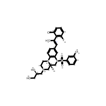 C/C(=C\c1ccc2c(c1)N(S(=O)(=O)c1cccc(C(F)(F)F)c1)C[C@@H]1CN(C[C@H](O)CO)CCN21)c1c(F)cccc1Cl